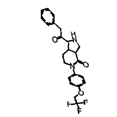 O=C(Cc1ccccc1)C1NCC2C(=O)N(c3ccc(OCC(F)(F)F)cc3)CCC21